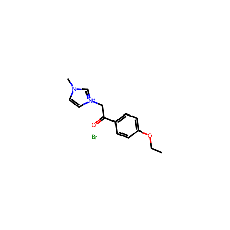 CCOc1ccc(C(=O)C[n+]2ccn(C)c2)cc1.[Br-]